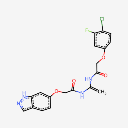 C=C(NC(=O)COc1ccc(Cl)c(F)c1)NC(=O)COc1ccc2cn[nH]c2c1